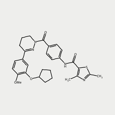 COc1ccc(C2=NN(C(=O)c3ccc(NC(=O)c4sc(C)nc4C)cc3)CCC2)cc1OC1CCCC1